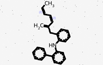 C=C(/C=C\C=C/C)Cc1ccccc1Nc1ccccc1-c1ccccc1